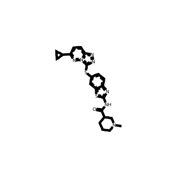 CN1CCCC(C(=O)Nc2nc3ccc(Sc4nnc5ccc(C6CC6)nn45)cc3s2)C1